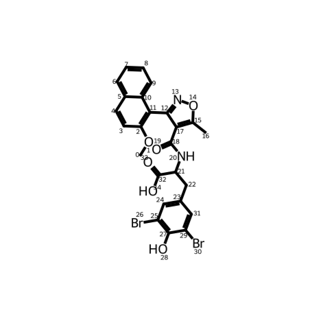 COc1ccc2ccccc2c1-c1noc(C)c1C(=O)NC(Cc1cc(Br)c(O)c(Br)c1)C(=O)O